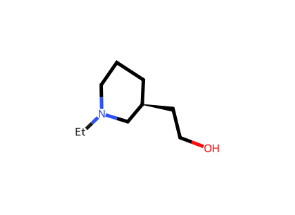 [CH2]CN1CCC[C@@H](CCO)C1